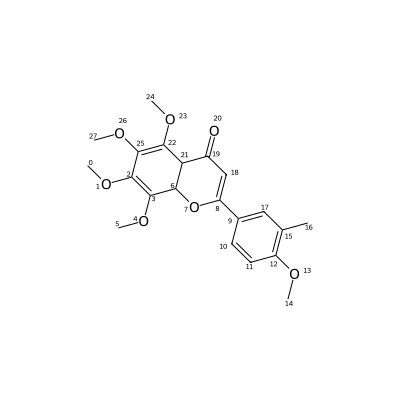 COC1=C(OC)C2OC(c3ccc(OC)c(C)c3)=CC(=O)C2C(OC)=C1OC